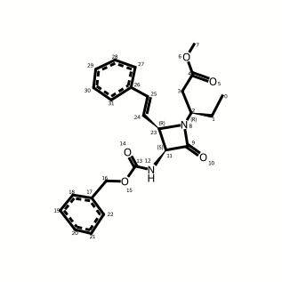 CC[C@H](CC(=O)OC)N1C(=O)[C@@H](NC(=O)OCc2ccccc2)[C@H]1C=Cc1ccccc1